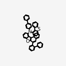 c1ccc(-c2ccc(N(c3cccc4sc5ccccc5c34)c3cccc4oc5c(-c6ccccc6-c6ccccc6)cc6ccccc6c5c34)cc2)cc1